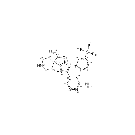 CC(=O)C1(c2nc(-c3cccc(C(F)(F)F)c3)c(-c3ccnc(N)n3)[nH]2)CCNCC1